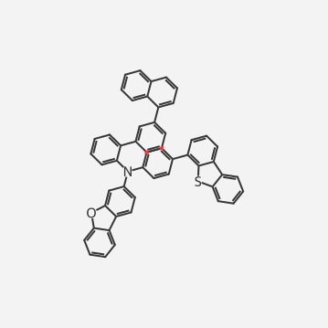 c1cc(-c2ccccc2N(c2ccc(-c3cccc4c3sc3ccccc34)cc2)c2ccc3c(c2)oc2ccccc23)cc(-c2cccc3ccccc23)c1